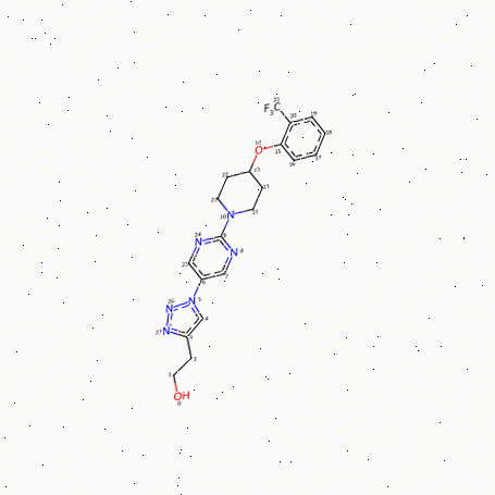 OCCc1cn(-c2cnc(N3CCC(Oc4ccccc4C(F)(F)F)CC3)nc2)nn1